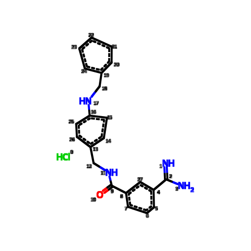 Cl.N=C(N)c1cccc(C(=O)NCc2ccc(NCc3ccccc3)cc2)c1